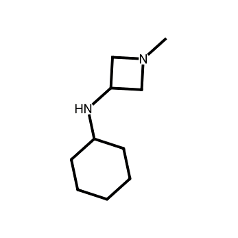 CN1CC(NC2CCCCC2)C1